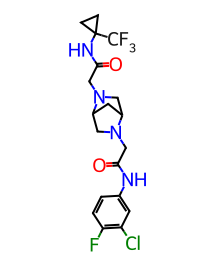 O=C(CN1CC2CC1CN2CC(=O)NC1(C(F)(F)F)CC1)Nc1ccc(F)c(Cl)c1